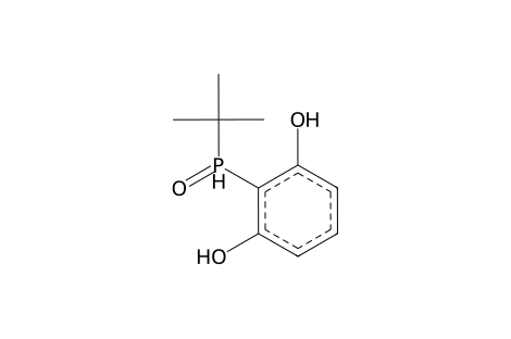 CC(C)(C)[PH](=O)c1c(O)cccc1O